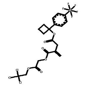 C=C(CC(=O)OC1(c2ccc(S(F)(F)(F)(F)F)cc2)CCC1)C(=O)OCC(=O)OCC(Cl)(Cl)Cl